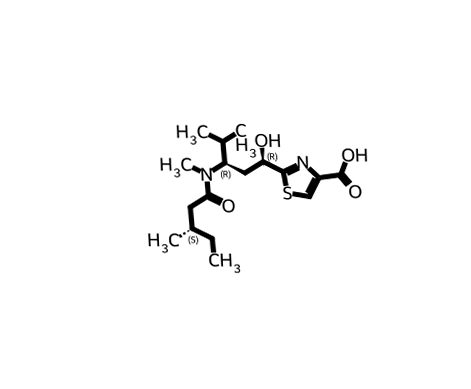 CC[C@H](C)CC(=O)N(C)[C@H](C[C@@H](O)c1nc(C(=O)O)cs1)C(C)C